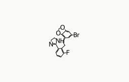 Fc1cccc(C2=NCCN2)c1CCc1cc(Br)cc2c1OCO2